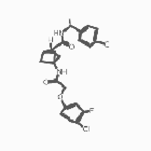 C[C@H](NC(=O)[C@@H]1CC2(NC(=O)COc3ccc(Cl)c(F)c3)CC1C2)c1ccc(Cl)cc1